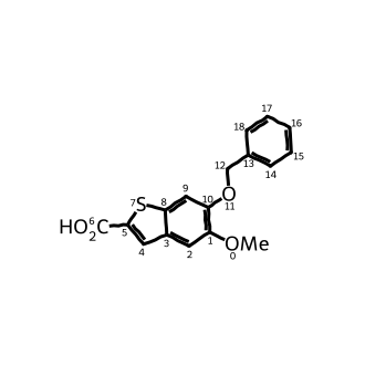 COc1cc2cc(C(=O)O)sc2cc1OCc1ccccc1